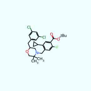 CC(C)(C)OC(=O)c1cc(C2CC2)c(CN2CC(Cc3cc(Cl)cc(Cl)c3)OCC2(C)C)cc1F